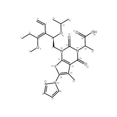 C=C/C(=C(\CC)OC)[C@H](Cn1c(=O)n(C(C)C(=O)O)c(=O)c2c(C)c(-n3cccn3)sc21)OC(C)C